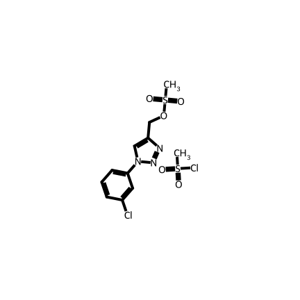 CS(=O)(=O)Cl.CS(=O)(=O)OCc1cn(-c2cccc(Cl)c2)nn1